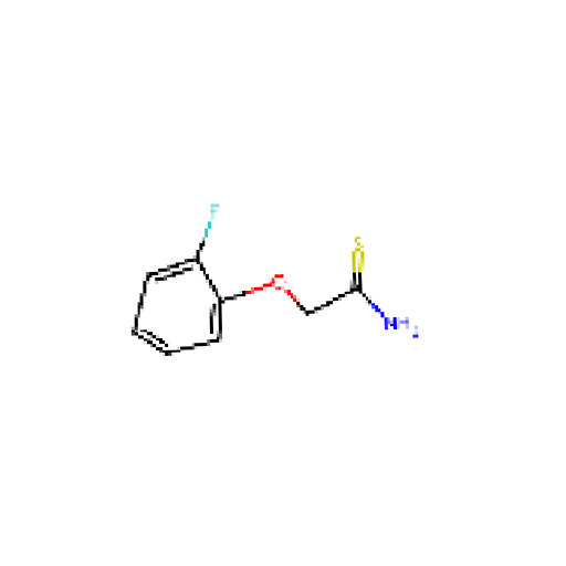 NC(=S)COc1ccccc1F